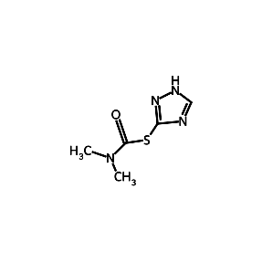 CN(C)C(=O)Sc1nc[nH]n1